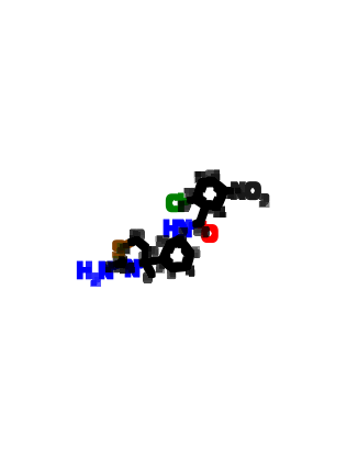 CC1(c2cccc(NC(=O)c3cc([N+](=O)[O-])ccc3Cl)c2)CCSC(N)=N1